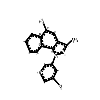 Cc1nn(-c2cncc(Cl)c2)c2c1cc(O)c1ccccc12